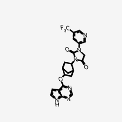 O=C1CN(c2cncc(C(F)(F)F)c2)C(=O)N1C1CC2CC1CC2Oc1ncnc2[nH]ccc12